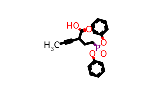 CC#CC(CCP(=O)(Oc1ccccc1)Oc1ccccc1)C(=O)O